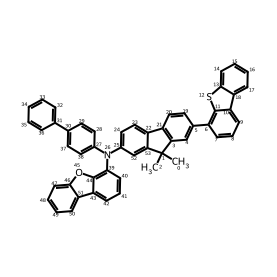 CC1(C)c2cc(-c3cccc4c3sc3ccccc34)ccc2-c2ccc(N(c3ccc(-c4ccccc4)cc3)c3cccc4c3oc3ccccc34)cc21